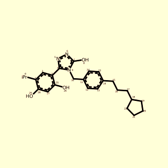 CC(C)c1cc(-c2nnc(O)n2Cc2ccc(CCCC3CCCC3)cc2)c(O)cc1O